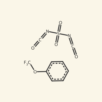 FC(F)(F)Oc1ccccc1.O=C=NS(=O)(=O)N=C=O